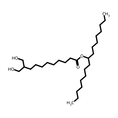 CCCCCCCCC(CCCCCCCC)OC(=O)CCCCCCCCC(CO)CO